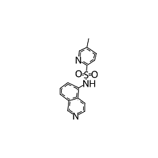 Cc1ccc(S(=O)(=O)Nc2cccc3cnccc23)nc1